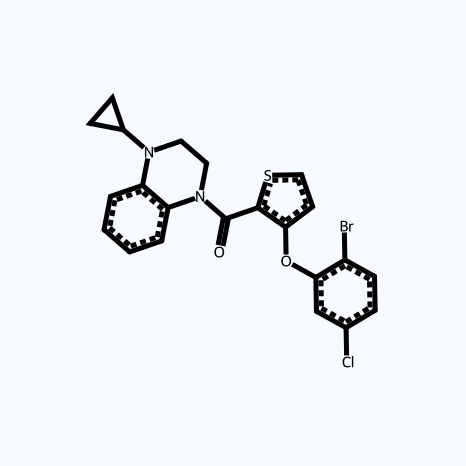 O=C(c1sccc1Oc1cc(Cl)ccc1Br)N1CCN(C2CC2)c2ccccc21